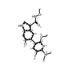 CONC(=O)c1c[nH]c2cc(Cl)c(-c3cc(F)c(N(C)C)nc3OC)cc12